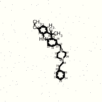 COc1ccc2c(c1)Nc1ccc(CN3CCN(CCc4ccccc4)CC3)cc1C2(C)C